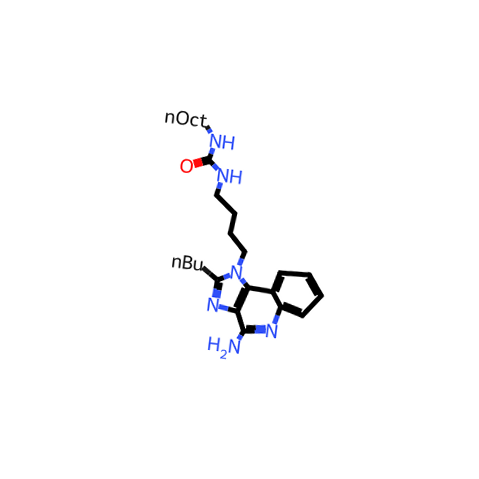 CCCCCCCCNC(=O)NCCCCn1c(CCCC)nc2c(N)nc3ccccc3c21